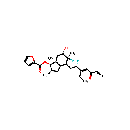 C=CC(=O)/C=C(\CC)[C@@H](F)CC1C2C[C@@H](C)[C@@H](OC(=O)c3ccco3)[C@@]2(C)C[C@H](O)[C@@]1(C)F